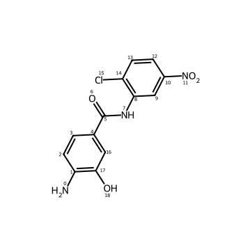 Nc1ccc(C(=O)Nc2cc([N+](=O)[O-])ccc2Cl)cc1O